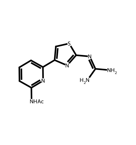 CC(=O)Nc1cccc(-c2csc(N=C(N)N)n2)n1